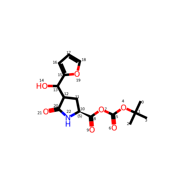 CC(C)(C)OC(=O)OC(=O)[C@@H]1CC(C(O)c2ccco2)C(=O)N1